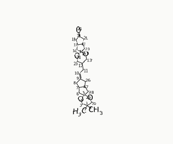 CC1(C)COC2(CC3CC(=CCC4COC5(CC6CC(=O)CC6C5)OC4)CC3C2)OC1